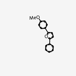 COc1ccc(-c2ccc(-c3ccccc3)o2)cc1